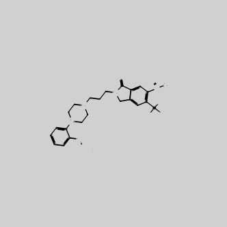 COc1ccccc1N1CCN(CCCN2Cc3cc(C(F)(F)F)c(S(N)(=O)=O)cc3C2=O)CC1